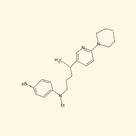 CCN(CCCC(C)c1ccc(N2CCCCC2)nc1)c1ccc(S)cc1